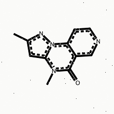 Cc1cc2n(C)c(=O)c3cnccc3n2n1